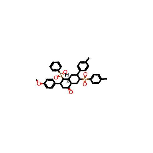 COc1ccc(C2CC(=O)C3CC(S(=O)(=O)c4ccc(C)cc4)C(c4ccc(C)cc4)C[C@@H]3C2S(=O)(=O)c2ccccc2)cc1